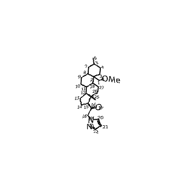 COCC12CCC(C)CC1CCC1C3CCC(C(=O)Cn4cccn4)C3(C)CCC12